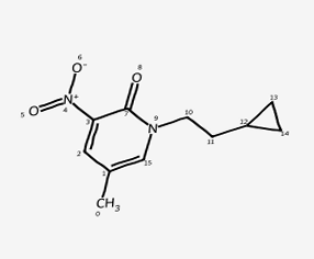 Cc1cc([N+](=O)[O-])c(=O)n(CCC2CC2)c1